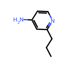 CCCc1cc(N)ccn1